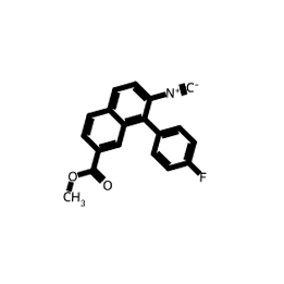 [C-]#[N+]c1ccc2ccc(C(=O)OC)cc2c1-c1ccc(F)cc1